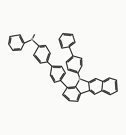 CN(c1ccccc1)c1ccc(-c2ccc(-c3cccc4c5cc6ccccc6cc5n(-c5ccc(-c6ccccc6)cc5)c34)cc2)cc1